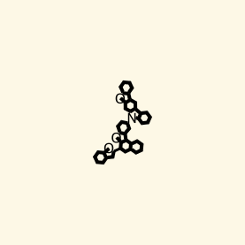 c1ccc2oc(-c3cc4ccccc4c4c3oc3ccc(-n5c6ccccc6c6cc7c(cc65)oc5ccccc57)cc34)cc2c1